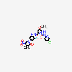 CO[C@@H]1C[C@H](C(=O)Nc2ccc(-n3cc([N+](=O)[O-])c(C)cc3=O)cc2F)N(C(=O)Nc2ccc(Cl)cn2)C1